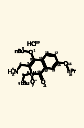 CCCCOC1=C(CN)[N+]([O-])(CC(C)(C)C)C(=O)c2cc(OCCC)ccc21.Cl